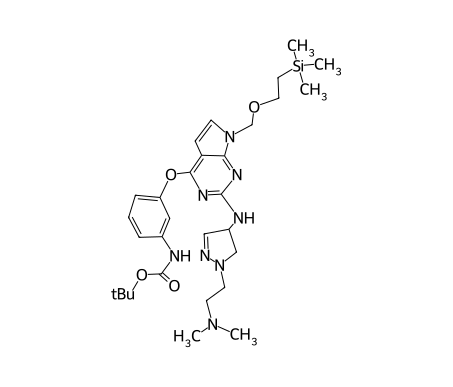 CN(C)CCN1CC(Nc2nc(Oc3cccc(NC(=O)OC(C)(C)C)c3)c3ccn(COCC[Si](C)(C)C)c3n2)C=N1